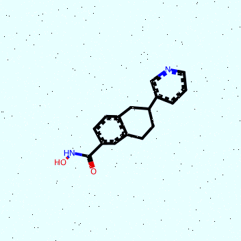 O=C(NO)c1ccc2c(c1)CCC(c1cccnc1)C2